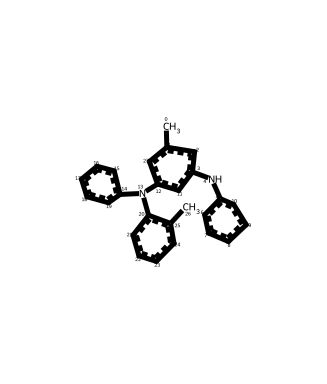 Cc1cc(Nc2ccccc2)cc(N(c2ccccc2)c2ccccc2C)c1